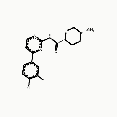 N[C@@H]1CC[C@H](C(=O)Nc2nccc(-c3ccc(Cl)c(F)c3)n2)OC1